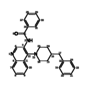 O=C(Nc1cnc2ccccc2c1N1CCC(Cc2ccccc2)CC1)c1ccccc1